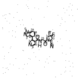 Cn1ncc2c(-c3cnccc3C(=O)NCC(=O)N3CC(F)(F)CC3C#N)cccc21